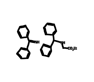 CCOC(=O)CNC(c1ccccc1)c1ccccc1.N=C(c1ccccc1)c1ccccc1